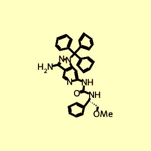 COC[C@@H](NC(=O)Nc1cc2c(cn1)c(N)nn2C(c1ccccc1)(c1ccccc1)c1ccccc1)c1ccccc1